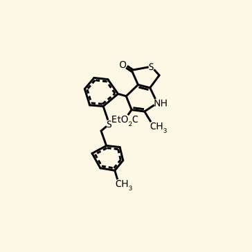 CCOC(=O)C1=C(C)NC2=C(C(=O)SC2)C1c1ccccc1SCc1ccc(C)cc1